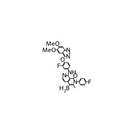 Bc1c(C)n(-c2ccc(F)cc2)c(=O)c2c(Nc3ccc(Oc4ncnc5cc(OC)c(OC)cc45)c(F)c3)nccc12